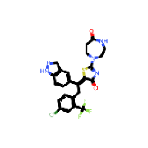 O=C1CCN(C2=NC(=O)C(=C(Cc3ccc(Cl)cc3C(F)(F)F)c3ccc4[nH]ncc4c3)S2)CCN1